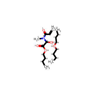 C=CC(=O)N(C)C(O)C(=O)OCCCC.CCCCOCCCC